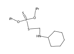 CC(C)OP(=S)(OC(C)C)SCNC1CCCCC1